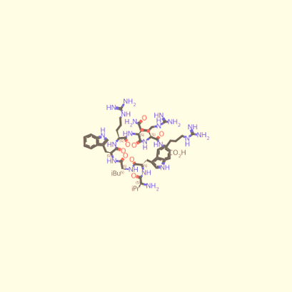 CC[C@H](C)[C@H](NC(=O)[C@H](Cc1c[nH]c2ccccc12)NC(=O)[C@@H](N)C(C)C)C(=O)N[C@@H](Cc1c[nH]c2ccccc12)C(=O)N[C@@H](CCCNC(=N)N)C(=O)N[C@@H](CCCNC(=N)N)C(=O)N[C@@H](CCC(N)=O)C(=O)N[C@@H](CCCNC(=N)N)C(=O)O